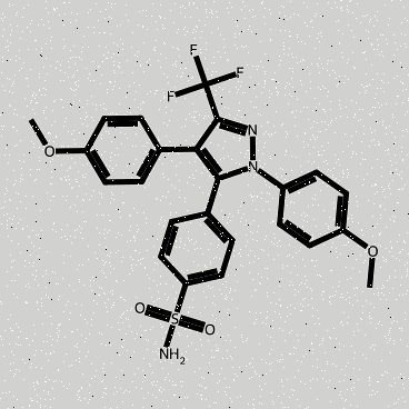 COc1ccc(-c2c(C(F)(F)F)nn(-c3ccc(OC)cc3)c2-c2ccc(S(N)(=O)=O)cc2)cc1